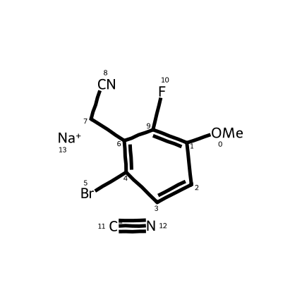 COc1ccc(Br)c(CC#N)c1F.[C-]#N.[Na+]